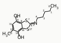 CCCCC/N=c1\sc2c(O)cc(C)c(O)c2s1